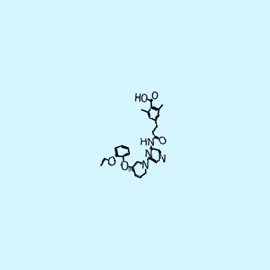 CCOc1ccccc1O[C@@H]1CCCN(c2cncc(NC(=O)CCc3cc(C)c(C(=O)O)c(C)c3)n2)C1